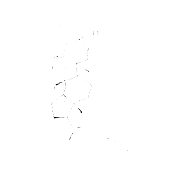 CCCCCC1(O)CC[C@@]2(C)C(=CC[C@H]3[C@@H]4CC[C@H]([C@H](C)CCCC(C)C)[C@@]4(C)CC[C@@H]32)C1